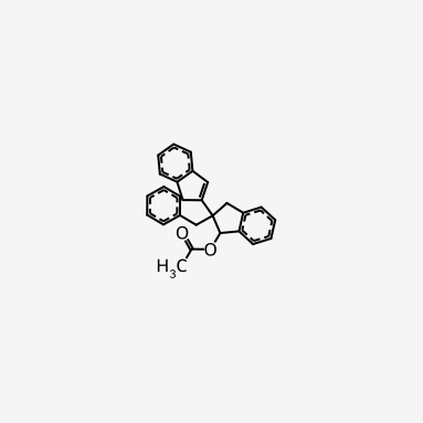 CC(=O)OC1c2ccccc2CC1(Cc1ccccc1)C1=Cc2ccccc2C1